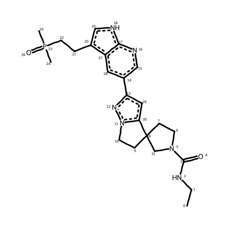 CCNC(=O)N1CCC2(CCn3nc(-c4cnc5[nH]cc(CCP(C)(C)=O)c5c4)cc32)C1